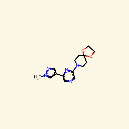 Cn1cc(-c2cncc(N3CCC4(CC3)OCCO4)n2)cn1